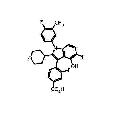 Cc1cc(-n2c(C3CCOCC3)c(-c3ccc(C(=O)O)cc3F)c3c(O)c(F)ccc32)ccc1F